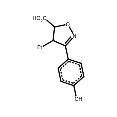 CCC1C(c2ccc(O)cc2)=NOC1C(=O)O